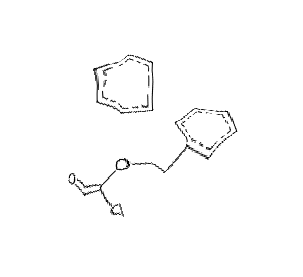 O=C(Cl)OCc1ccccc1.c1ccccc1